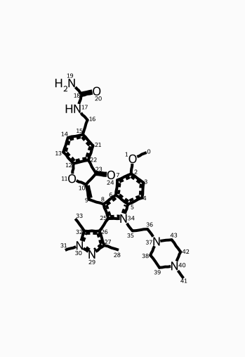 COc1ccc2c(c1)c(C=C1Oc3ccc(CNC(N)=O)cc3C1=O)c(-c1c(C)nn(C)c1C)n2CCN1CCN(C)CC1